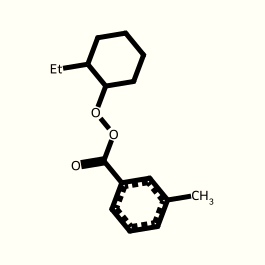 CCC1CCCC[C]1OOC(=O)c1cccc(C)c1